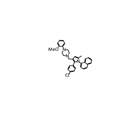 COc1ccccc1N1CCN(Cc2cc(C)n(-c3cccc4ccccc34)c2-c2ccc(Cl)cc2)CC1